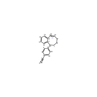 N#Cc1ccc(C2CCC/C=N\c3ccccc32)cc1